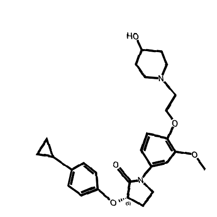 COc1cc(N2CC[C@H](Oc3ccc(C4CC4)cc3)C2=O)ccc1OCCN1CCC(O)CC1